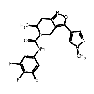 CC1Cc2noc(-c3cnn(C)c3)c2CN1C(=O)Nc1cc(F)c(F)c(F)c1